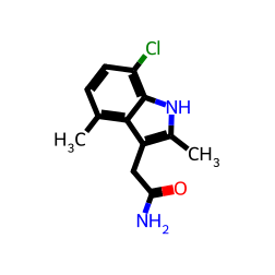 Cc1[nH]c2c(Cl)ccc(C)c2c1CC(N)=O